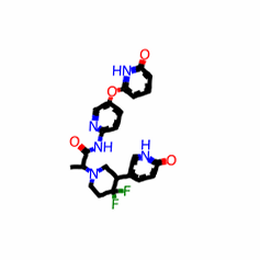 CC(C(=O)Nc1ccc(Oc2cccc(=O)[nH]2)cn1)N1CCC(F)(F)C(c2ccc(=O)[nH]c2)C1